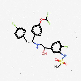 CS(=O)(=O)Nc1cc([C@@H](O)CN[C@H](Cc2ccc(F)cc2)c2ccc(OC(F)F)cc2)ccc1F